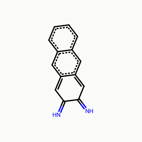 N=C1C=c2cc3ccccc3cc2=CC1=N